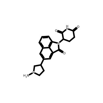 NN1CCC(c2cc3c4c(cccc4c2)N(C2CCC(=O)NC2=O)C3=O)C1